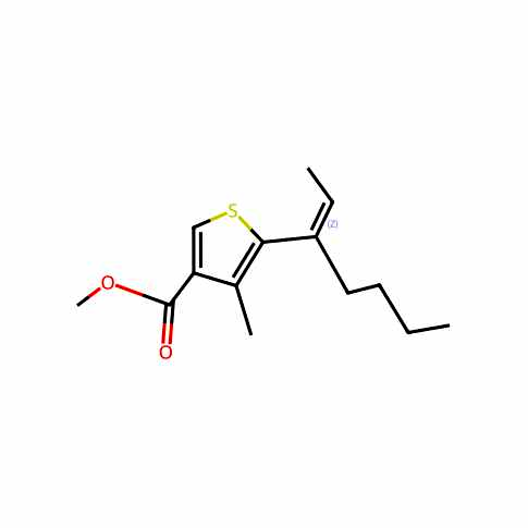 C/C=C(/CCCC)c1scc(C(=O)OC)c1C